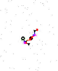 O=C(O)C1CC1c1noc(C23CCC(OCc4c(-c5c(Cl)cccc5Cl)noc4C4CC4)(CC2)CC3)n1